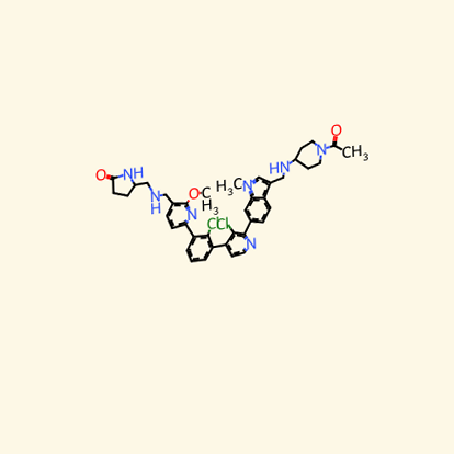 COc1nc(-c2cccc(-c3ccnc(-c4ccc5c(CNC6CCN(C(C)=O)CC6)cn(C)c5c4)c3Cl)c2Cl)ccc1CNCC1CCC(=O)N1